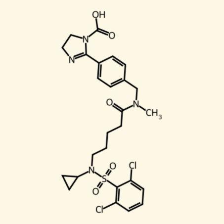 CN(Cc1ccc(C2=NCCN2C(=O)O)cc1)C(=O)CCCCN(C1CC1)S(=O)(=O)c1c(Cl)cccc1Cl